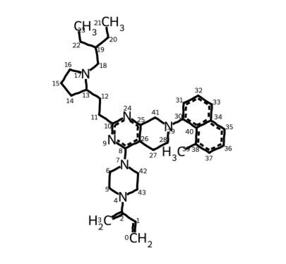 C=CC(=C)N1CCN(c2nc(CCC3CCCN3CC(CC)CC)nc3c2CCN(c2cccc4cccc(C)c24)C3)CC1